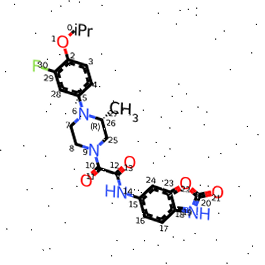 CC(C)Oc1ccc(N2CCN(C(=O)C(=O)Nc3ccc4[nH]c(=O)oc4c3)C[C@H]2C)cc1F